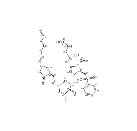 C=CCOCC=C[C@H]1CC(=C)[C@H](CC[C@H]2C[C@@H](C)C(=C)[C@@H](C[C@@H]3O[C@H](C[C@@H](O)CNC(=O)O)[C@H](OC)[C@H]3CS(=O)(=O)c3ccccc3)O2)O1